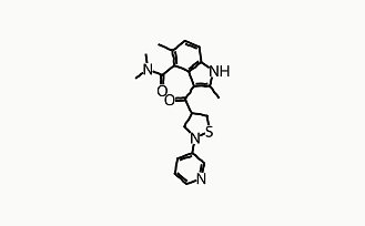 Cc1ccc2[nH]c(C)c(C(=O)C3CSN(c4cccnc4)C3)c2c1C(=O)N(C)C